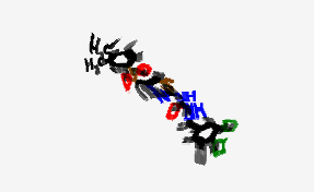 Cc1ccc(S(=O)(=O)Cc2csc(NC(=O)NCc3ccc(Cl)c(Cl)c3)n2)cc1C